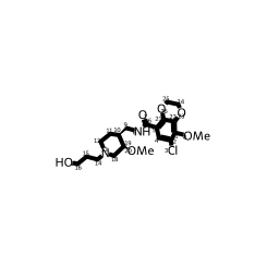 COc1c(Cl)cc(C(=O)NC[C@@H]2CCN(CCCO)C[C@H]2OC)c2c1OCCO2